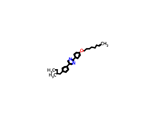 C=CCCCCCCOc1ccc(-c2ncc(-c3ccc(CC(C)CC)cc3)cn2)cc1